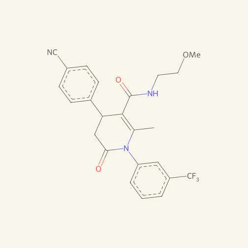 COCCNC(=O)C1=C(C)N(c2cccc(C(F)(F)F)c2)C(=O)CC1c1ccc(C#N)cc1